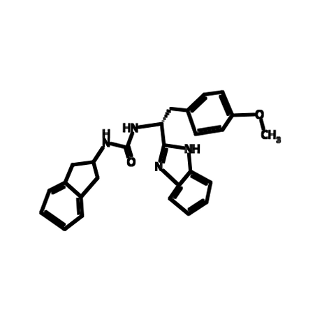 COc1ccc(C[C@@H](NC(=O)NC2Cc3ccccc3C2)c2nc3ccccc3[nH]2)cc1